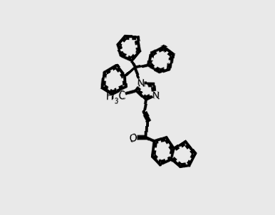 Cc1c(C=CC(=O)c2ccc3ccccc3c2)ncn1C(c1ccccc1)(c1ccccc1)c1ccccc1